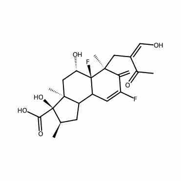 C=C1C(F)=CC2C3C[C@@H](C)[C@](O)(C(=O)O)[C@@]3(C)C[C@H](O)[C@]2(F)[C@@]1(C)C/C(=C/O)C(C)=O